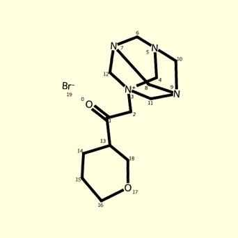 O=C(C[N+]12CN3CN(CN(C3)C1)C2)C1CCCOC1.[Br-]